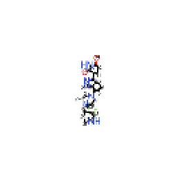 C[C@H]1CN(c2cccc3c(C4CCC(=O)NC4=O)nn(C)c23)CCN1CC1CCNCC1(F)F